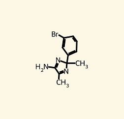 CC1=NC(C)(c2cccc(Br)c2)N=C1N